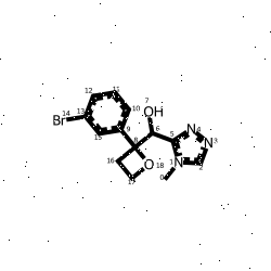 Cn1cnnc1C(O)C1(c2cccc(Br)c2)CCO1